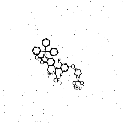 C[C@@H]1Cc2c(ccc3c2oc(=O)n3C(c2ccccc2)(c2ccccc2)c2ccccc2)[C@@H](c2c(F)cc(O[C@@H]3CCN(C(=O)OC(C)(C)C)C3)cc2F)N1CC(F)(F)F